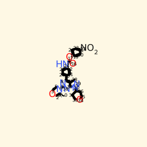 C[C@H]1COCCN1c1nc(-c2ccc(NC(=O)Oc3ccc([N+](=O)[O-])cc3)cc2)c2cnn(C3CCOCC3)c2n1